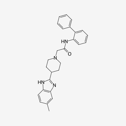 Cc1ccc2[nH]c(C3CCN(CC(=O)Nc4ccccc4-c4ccccc4)CC3)nc2c1